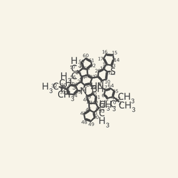 CC(C)(C)c1ccc(Nc2cc3sc4ccccc4c3cc2-c2c3c(c4c5cc(C(C)(C)C)ccc5n5c4c2Bc2cc4c(cc2-5)-c2ccccc2C4(C)C)C(C)(C)c2ccccc2-3)cc1